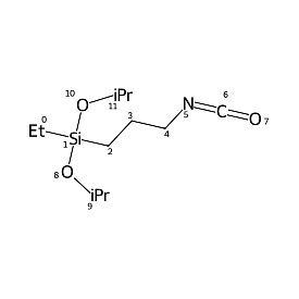 CC[Si](CCCN=C=O)(OC(C)C)OC(C)C